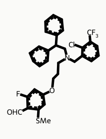 CSc1cc(OCCCN(Cc2cccc(C(F)(F)F)c2Cl)CC(c2ccccc2)c2ccccc2)cc(F)c1C=O